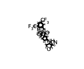 CC1(C#N)COCCC1N[C@@H]1CC[C@@](C(=O)NCc2cc(C(F)(F)F)cc(C(F)(F)F)c2)(C(C)(C)O)C1